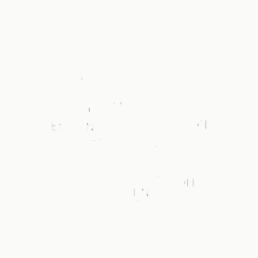 CCN(CC)C(=S)OC(C)c1cccc(Cl)c1.NC(O)=S